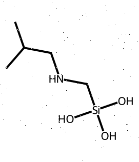 CC(C)CNC[Si](O)(O)O